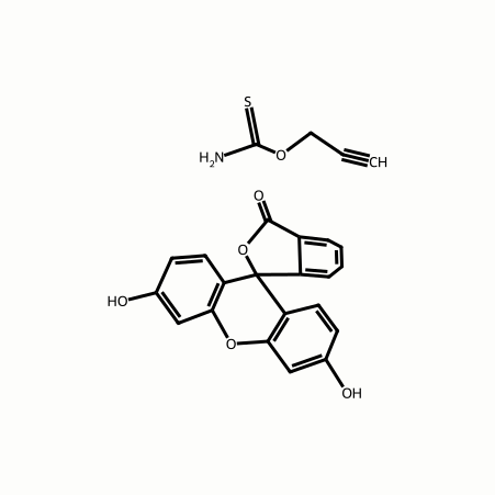 C#CCOC(N)=S.O=C1OC2(c3ccc(O)cc3Oc3cc(O)ccc32)c2ccccc21